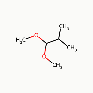 COC(OC)C(C)C